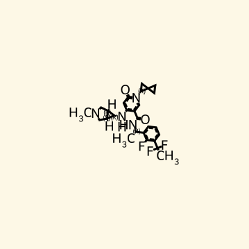 C[C@@H](NC(=O)c1cn([C@@H]2CC23CC3)c(=O)cc1N[C@@H]1[C@@H]2CN(C)C[C@@H]21)c1cccc(C(C)(F)F)c1F